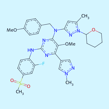 COc1ccc(CN(c2cc(C)n(C3CCCCO3)n2)c2nc(Nc3ccc(S(C)(=O)=O)cc3F)nc(-c3cnn(C)c3)c2OC)cc1